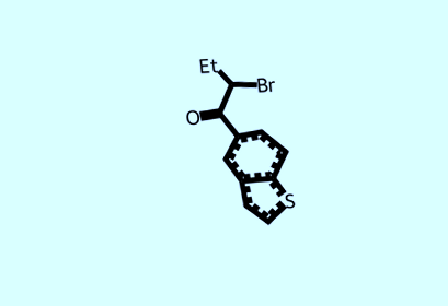 CCC(Br)C(=O)c1ccc2sccc2c1